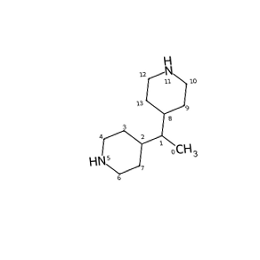 CC(C1CCNCC1)C1CCNCC1